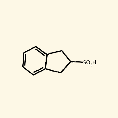 O=S(=O)(O)C1Cc2ccccc2C1